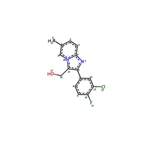 Bc1ccc2nc(-c3ccc(F)c(Cl)c3)c(CO)n2c1